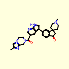 Cc1cn2c(n1)CN(C(=O)c1cnc3[nH]cc(-c4ccc5c(c4)C4(CCN(C)CC4)CC5=O)c3c1)CC2